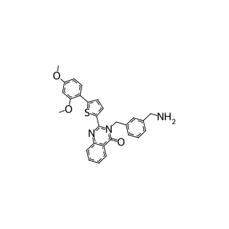 COc1ccc(-c2ccc(-c3nc4ccccc4c(=O)n3Cc3cccc(CN)c3)s2)c(OC)c1